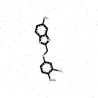 CC(=O)Nc1ccc(OCc2nc3cc([N+](=O)[O-])ccc3o2)cc1C